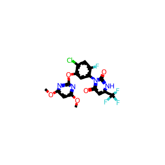 COc1cc(OC)nc(Oc2cc(-n3c(=O)cc(C(F)(F)F)[nH]c3=O)c(F)cc2Cl)n1